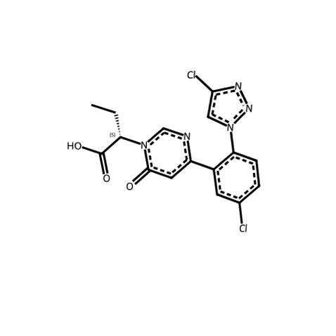 CC[C@@H](C(=O)O)n1cnc(-c2cc(Cl)ccc2-n2cc(Cl)nn2)cc1=O